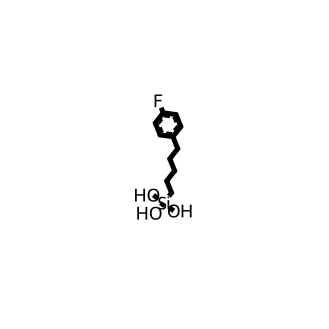 O[Si](O)(O)CCCCCc1ccc(F)cc1